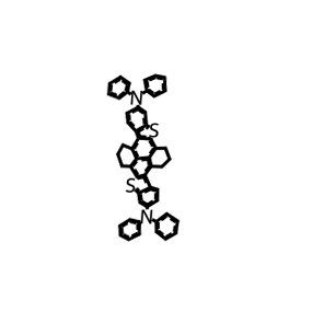 c1ccc(N(c2ccccc2)c2ccc3c(c2)sc2c4c5c(c6c(sc7cc(N(c8ccccc8)c8ccccc8)ccc76)c6c5c(c23)CCC6)CCC4)cc1